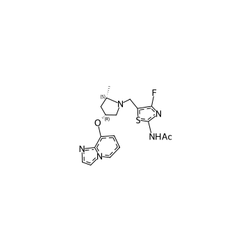 CC(=O)Nc1nc(F)c(CN2C[C@H](Oc3cccn4ccnc34)C[C@@H]2C)s1